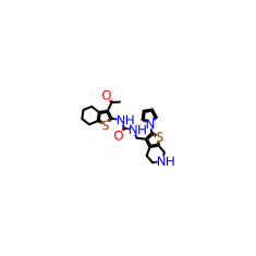 CC(=O)c1c(NC(=O)NCc2c(-n3cccc3)sc3c2CCNC3)sc2c1CCCC2